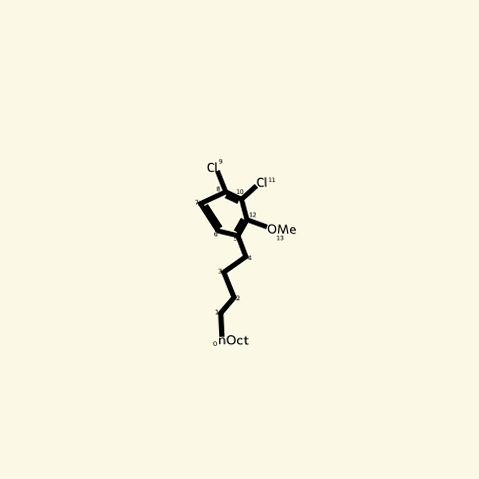 CCCCCCCCCCCCc1ccc(Cl)c(Cl)c1OC